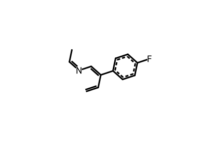 C=C/C(=C\N=C/C)c1ccc(F)cc1